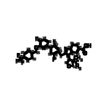 CC1(C)COCC1n1c(Cc2cc(F)c(-c3ccc(F)c(OCc4ccc(C(F)(F)F)cc4)n3)cc2F)nc2ccc(C(=O)O)cc21